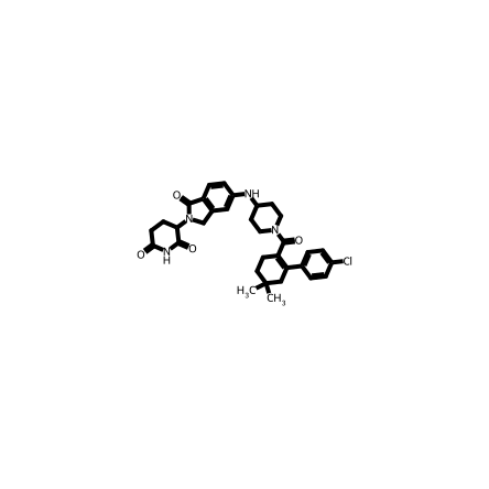 CC1(C)CCC(C(=O)N2CCC(Nc3ccc4c(c3)CN(C3CCC(=O)NC3=O)C4=O)CC2)=C(c2ccc(Cl)cc2)C1